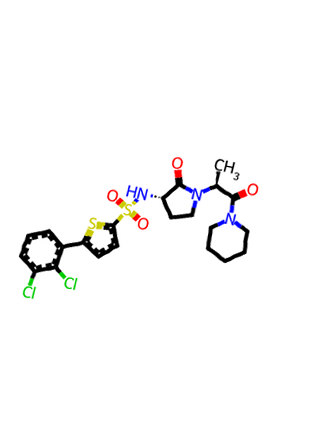 C[C@@H](C(=O)N1CCCCC1)N1CC[C@H](NS(=O)(=O)c2ccc(-c3cccc(Cl)c3Cl)s2)C1=O